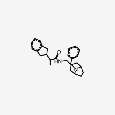 CC(C(=O)NCC1CC2CCC(C1)N2Cc1ccccc1)C1Cc2ccccc2C1